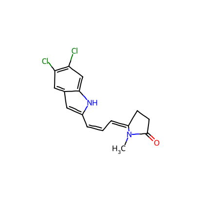 CN1C(=O)CCC1=C/C=C\c1cc2cc(Cl)c(Cl)cc2[nH]1